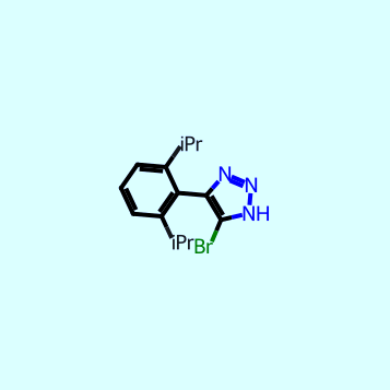 CC(C)c1cccc(C(C)C)c1-c1nn[nH]c1Br